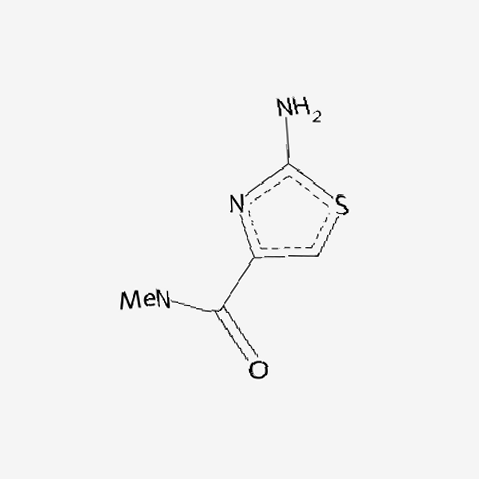 CNC(=O)c1csc(N)n1